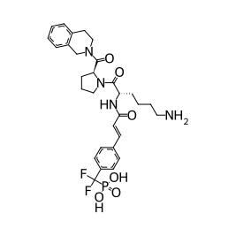 NCCCC[C@H](NC(=O)/C=C/c1ccc(C(F)(F)P(=O)(O)O)cc1)C(=O)N1CCC[C@H]1C(=O)N1CCc2ccccc2C1